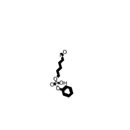 O=NCCCCCOP(=O)(O)Oc1ccccc1